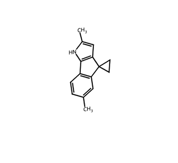 Cc1ccc2c(c1)C1(CC1)c1cc(C)[nH]c1-2